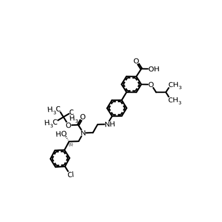 CC(C)COc1cc(-c2ccc(NCCN(C[C@@H](O)c3cccc(Cl)c3)C(=O)OC(C)(C)C)cc2)ccc1C(=O)O